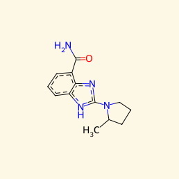 CC1CCCN1c1nc2c(C(N)=O)cccc2[nH]1